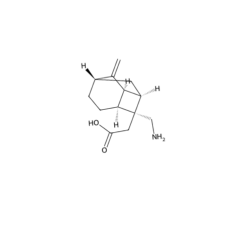 C=C1[C@H]2CC[C@H]3[C@@H]1[C@@H](C2)[C@@]3(CN)CC(=O)O